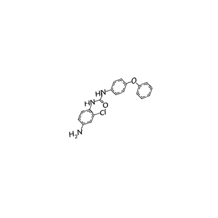 Nc1ccc(NC(=O)Nc2ccc(Oc3ccccc3)cc2)c(Cl)c1